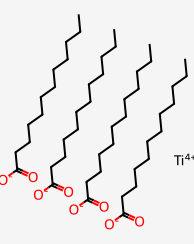 CCCCCCCCCCCC(=O)[O-].CCCCCCCCCCCC(=O)[O-].CCCCCCCCCCCC(=O)[O-].CCCCCCCCCCCC(=O)[O-].[Ti+4]